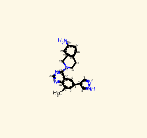 Cc1cc(-c2cn[nH]c2)cc2c(N3CCc4ccc(N)cc4C3)ncnc12